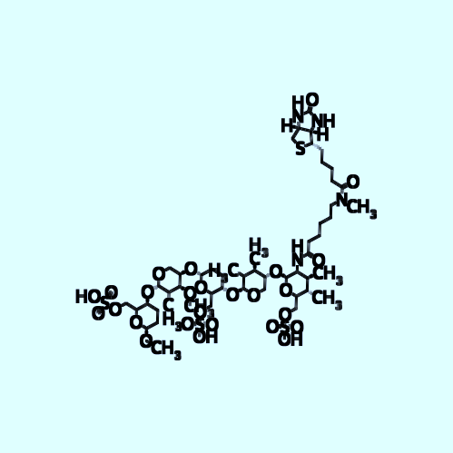 CO[C@@H]1CC[C@H](O[C@@H]2OC[C@@H](O[C@@H]3CC[C@H](O[C@@H]4OC[C@@H](O[C@@H]5OC(COS(=O)(=O)O)[C@@H](C)[C@H](C)C5NC(=O)CCCCCN(C)C(=O)CCCC[C@@H]5SC[C@@H]6NC(=O)N[C@@H]65)[C@H](C)C4C)C(COS(=O)(=O)O)O3)[C@@H](OC)C2C)C(COS(=O)(=O)O)O1